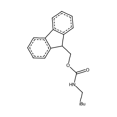 CCC(C)CNC(=O)OCC1c2ccccc2-c2ccccc21